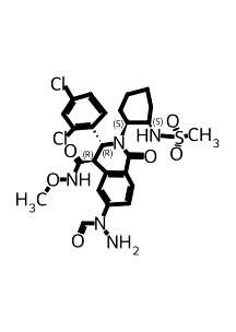 CONC(=O)[C@@H]1c2cc(N(N)C=O)ccc2C(=O)N([C@H]2CCCC[C@@H]2NS(C)(=O)=O)[C@H]1c1ccc(Cl)cc1Cl